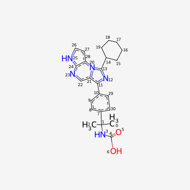 CC(C)(NC(=O)O)c1ccc(-c2nc(C3CCCCC3)n3c2cnc2[nH]ccc23)cc1